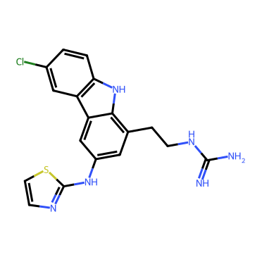 N=C(N)NCCc1cc(Nc2nccs2)cc2c1[nH]c1ccc(Cl)cc12